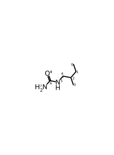 CCC(C)[CH]NC(N)=O